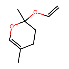 C=COC1(C)CCC(C)=CO1